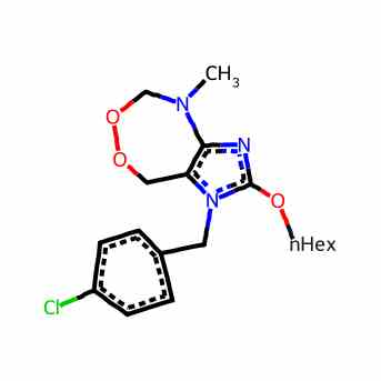 CCCCCCOc1nc2c(n1Cc1ccc(Cl)cc1)COOCN2C